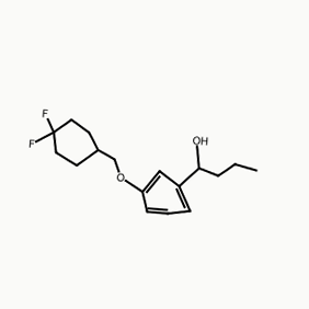 CCCC(O)c1cccc(OCC2CCC(F)(F)CC2)c1